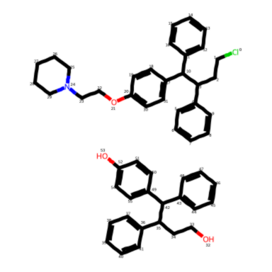 ClCCC(c1ccccc1)C(c1ccccc1)c1ccc(OCCN2CCCCC2)cc1.OCCC(c1ccccc1)C(c1ccccc1)c1ccc(O)cc1